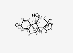 C[C@@]12CCC[C@H]1[C@@H]1CCC3=CC(=O)C=C[C@]3(C)[C@H]1[C@@H](O)C2